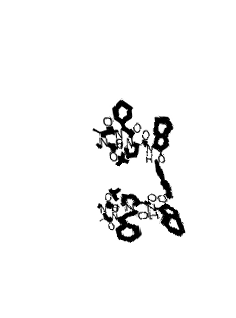 C[C@@H](C(=O)N[C@H](C(=O)N1CCC[C@H]1C(=O)N[C@@H]1c2ccccc2C[C@H]1OCC#CC#CCO[C@@H]1Cc2ccccc2[C@@H]1NC(=O)[C@@H]1CCCN1C(=O)[C@@H](NC(=O)[C@H](C)N(C)C(=O)OC(C)(C)C)C1CCCCC1)C1CCCCC1)N(C)C(=O)OC(C)(C)C